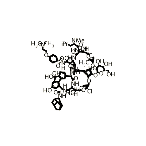 CN[C@H](CC(C)C)C(=O)N[C@H]1C(=O)N[C@@H](CC(=O)NS(=O)(=O)c2ccc(OCCN(C)C)cc2)C(=O)N[C@H]2C(=O)N[C@H]3C(=O)N[C@H](C(=O)N[C@H](C(=O)NC4C5CC6CC(C5)CC4C6)c4cc(O)cc5c4-c4cc3ccc4C5(O)O)[C@H](O)c3ccc(c(Cl)c3)Oc3cc2cc(c3O[C@@H]2O[C@H](CO)[C@@H](O)[C@H](O)[C@H]2O)Oc2ccc(cc2C)[C@H]1O